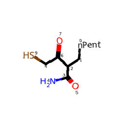 CCCCCCC(C(N)=O)C(=O)CS